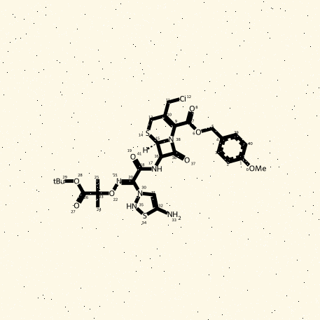 COc1ccc(COC(=O)C2=C(CCl)CS[C@@H]3C(NC(=O)/C(=N/OC(C)(C)C(=O)OC(C)(C)C)N4C=C(N)SN4)C(=O)N23)cc1